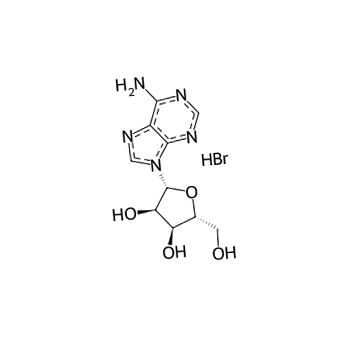 Br.Nc1ncnc2c1ncn2[C@@H]1O[C@H](CO)[C@@H](O)[C@H]1O